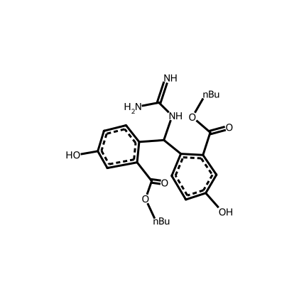 CCCCOC(=O)c1cc(O)ccc1C(NC(=N)N)c1ccc(O)cc1C(=O)OCCCC